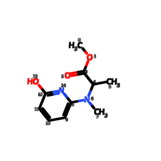 COC(=O)C(C)N(C)c1cccc(O)n1